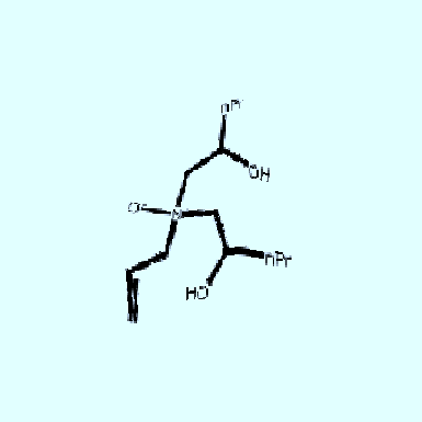 C=CC[N+]([O-])(CC(O)CCC)CC(O)CCC